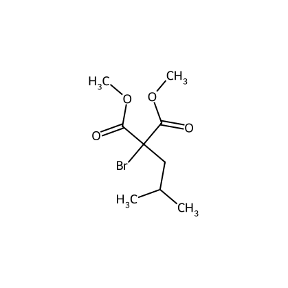 COC(=O)C(Br)(CC(C)C)C(=O)OC